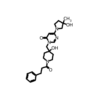 CC1(O)CCN(c2cc(=O)n(CC3(O)CCN(C(=O)CCc4ccccc4)CC3)cn2)C1